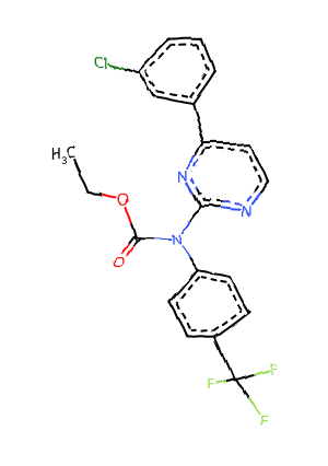 CCOC(=O)N(c1ccc(C(F)(F)F)cc1)c1nccc(-c2cccc(Cl)c2)n1